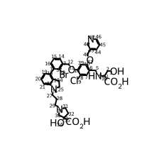 O=C(O)[C@H](CO)NCc1cc(Cl)c(OCc2cccc(-c3cccc4c3CCN4CCCN3CCC(O)(C(=O)O)C3)c2Br)cc1OCc1cccnc1